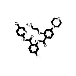 NCCOc1cc(N2CCOCC2)ccc1C(=O)Nc1cc(Cl)ccc1C(=O)Nc1ccc(Cl)cn1